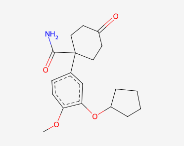 COc1ccc(C2(C(N)=O)CCC(=O)CC2)cc1OC1CCCC1